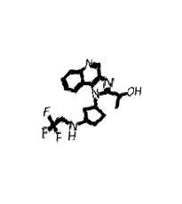 CC(O)c1nc2cnc3ccccc3c2n1C1CCC(NCC(F)(F)F)C1